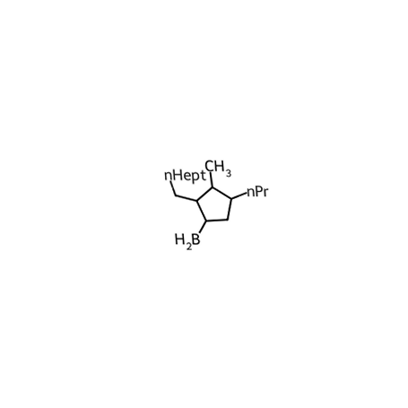 BC1CC(CCC)C(C)C1CCCCCCCC